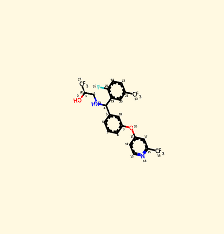 O[C@H](CNC(c1cccc(Oc2ccnc(C(F)(F)F)c2)c1)c1cc(C(F)(F)F)ccc1F)C(F)(F)F